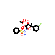 CC(=O)OC1=C(NS(=O)(=O)c2ccccc2)OC(C)(c2cccc(F)c2)C1=O